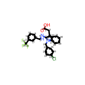 O=C(O)Cc1c(NCc2cccc(C(F)(F)F)c2)n(Cc2ccc(Cl)cc2)c2ccccc12